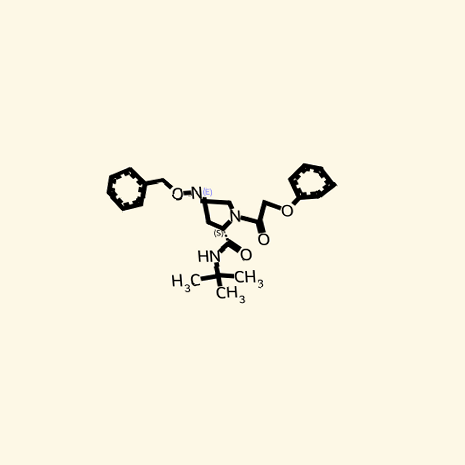 CC(C)(C)NC(=O)[C@@H]1C/C(=N\OCc2ccccc2)CN1C(=O)COc1ccccc1